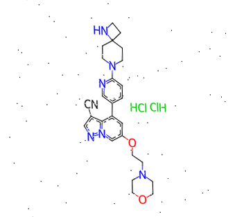 Cl.Cl.N#Cc1cnn2cc(OCCN3CCOCC3)cc(-c3ccc(N4CCC5(CCN5)CC4)nc3)c12